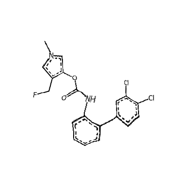 Cn1cc(CF)c(OC(=O)Nc2ccccc2-c2ccc(Cl)c(Cl)c2)c1